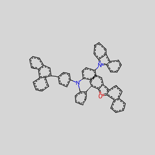 c1ccc(N(c2ccc(-c3cc4ccccc4c4ccccc34)cc2)c2ccc(-n3c4ccccc4c4ccccc43)cc2)c(-c2cccc3c2oc2c4ccccc4ccc32)c1